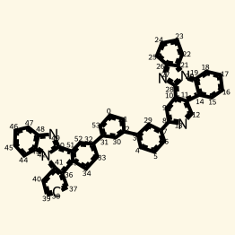 c1cc(-c2cccc(-c3cc4c(cn3)c3ccccc3n3c5ccccc5nc43)c2)cc(-c2ccc3c4ccccc4n4c5ccccc5nc4c3c2)c1